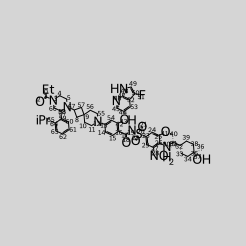 CCC(=O)N1CCN(C2CC3(CCN(c4ccc(C(=O)NS(=O)(=O)c5cc6c(c([N+](=O)[O-])c5)N[C@@H]([C@H]5CC[C@](C)(O)CC5)CO6)c(Oc5cnc6[nH]cc(F)c6c5)c4)CC3)C2)[C@@H](c2ccccc2C(C)C)C1